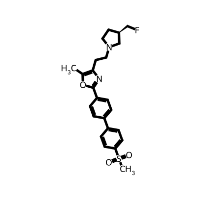 Cc1oc(-c2ccc(-c3ccc(S(C)(=O)=O)cc3)cc2)nc1CCN1CC[C@@H](CF)C1